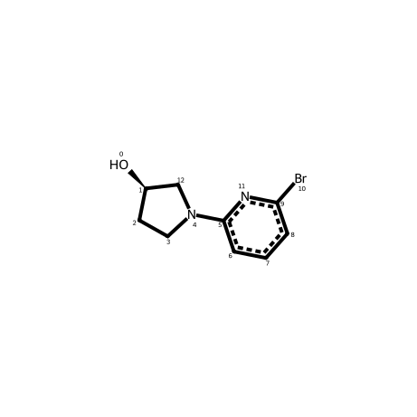 O[C@@H]1CCN(c2cccc(Br)n2)C1